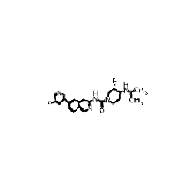 CC(C)N[C@H]1CCN(C(=O)Nc2cc3cc(-c4cncc(F)c4)ccc3cn2)C[C@@H]1F